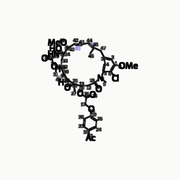 COc1cc2cc(c1Cl)N(C)C(=O)C[C@H](OC(=O)COc1ccc(C(C)=O)cc1)[C@]1(C)O[C@H]1[C@H](C)[C@@H]1C[C@@](O)(NC(=O)O1)[C@H](OC)/C=C/C=C(\C)C2